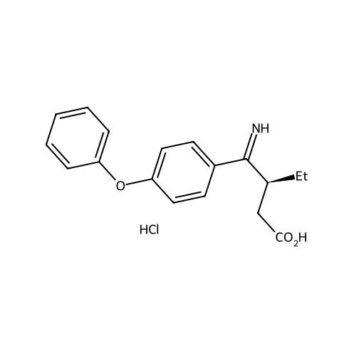 CC[C@@H](CC(=O)O)C(=N)c1ccc(Oc2ccccc2)cc1.Cl